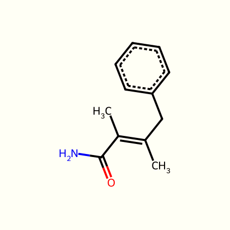 CC(Cc1ccccc1)=C(C)C(N)=O